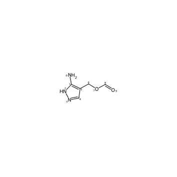 Nc1[nH]ncc1COC=O